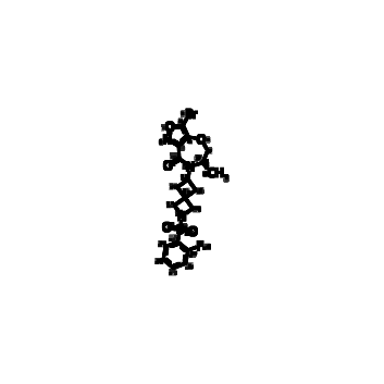 C[C@@H]1COc2c(noc2Br)C(=O)N1C1CC2(C1)CN(S(=O)(=O)c1ccccc1F)C2